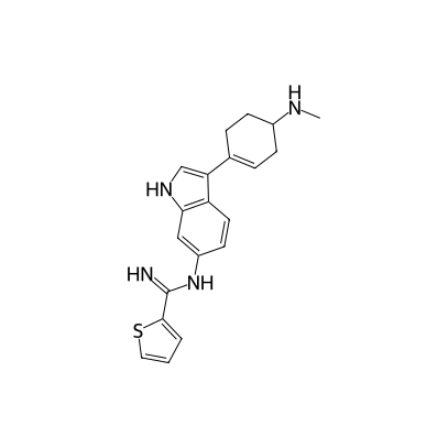 CNC1CC=C(c2c[nH]c3cc(NC(=N)c4cccs4)ccc23)CC1